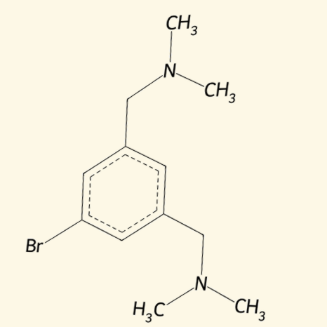 CN(C)Cc1cc(Br)cc(CN(C)C)c1